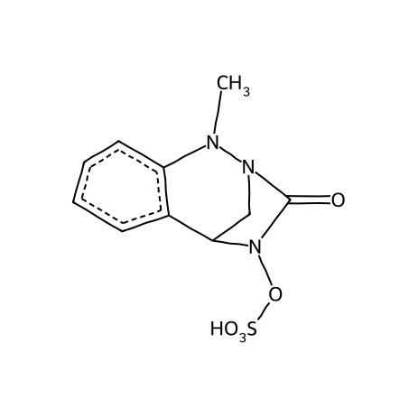 CN1c2ccccc2C2CN1C(=O)N2OS(=O)(=O)O